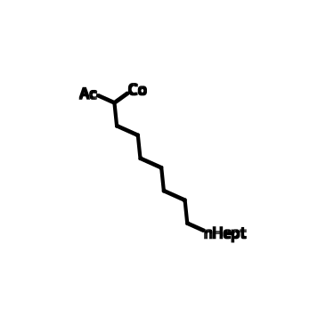 CCCCCCCCCCCCCC[CH]([Co])C(C)=O